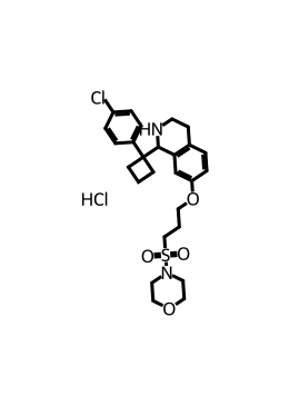 Cl.O=S(=O)(CCCOc1ccc2c(c1)C(C1(c3ccc(Cl)cc3)CCC1)NCC2)N1CCOCC1